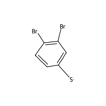 [S]c1ccc(Br)c(Br)c1